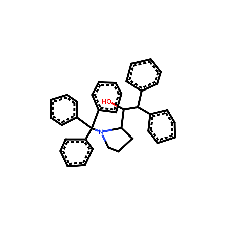 OC(C(c1ccccc1)c1ccccc1)C1CCCN1C(c1ccccc1)(c1ccccc1)c1ccccc1